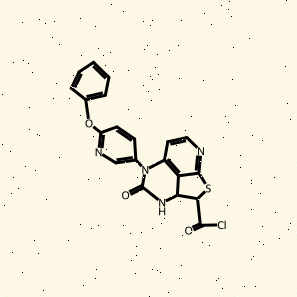 O=C(Cl)C1Sc2nccc3c2C1NC(=O)N3c1ccc(Oc2ccccc2)nc1